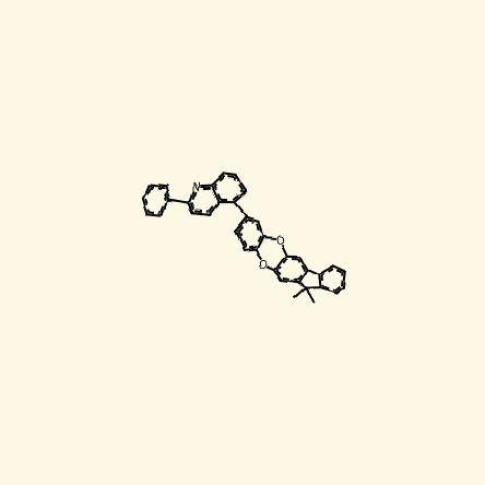 CC1(C)c2ccccc2-c2cc3c(cc21)Oc1ccc(-c2cccc4nc(-c5ccccc5)ccc24)cc1O3